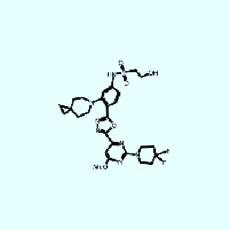 COc1cc(-c2nnc(-c3ccc(NS(=O)(=O)CCO)cc3N3CCC4(CC3)CC4)o2)nc(N2CCC(F)(F)CC2)n1